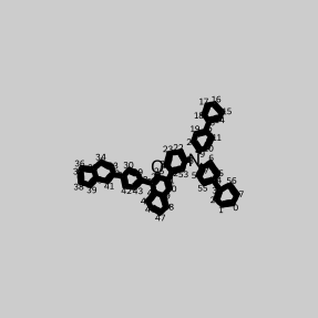 c1ccc(-c2ccc(N(c3ccc(-c4ccccc4)cc3)c3ccc4oc5c(-c6ccc(-c7ccc8ccccc8c7)cc6)c6ccccc6cc5c4c3)cc2)cc1